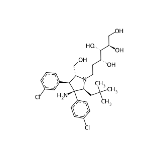 CC(C)(C)C[C@@H]1N(CC[C@@H](O)[C@H](O)[C@H](O)CO)[C@@H](CO)[C@H](c2cccc(Cl)c2)[C@@]1(N)c1ccc(Cl)cc1